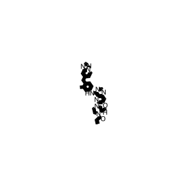 C=CC(=O)N1CCN2C[C@@H]1COc1cc3ncnc(Nc4ccc(Cc5ccn6ncnc6c5)c(C)c4)c3nc12